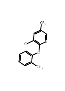 Cc1c[c]ccc1Oc1ncc(C(F)(F)F)cc1Cl